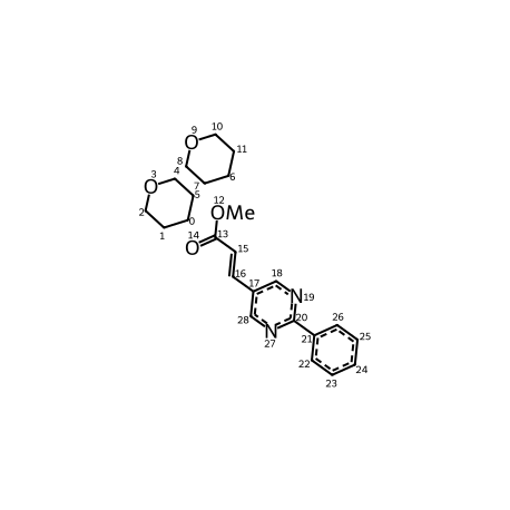 C1CCOCC1.C1CCOCC1.COC(=O)/C=C/c1cnc(-c2ccccc2)nc1